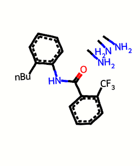 CCCCc1ccccc1NC(=O)c1ccccc1C(F)(F)F.CN.CN.CN